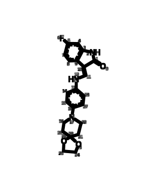 O=C1Nc2cc(F)ccc2/C1=C\Nc1ccc(N2CCC3(CC2)OCCO3)cc1